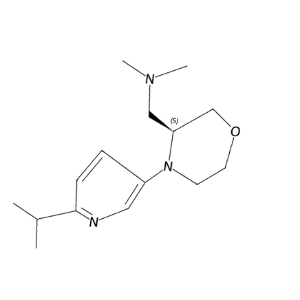 CC(C)c1ccc(N2CCOC[C@@H]2CN(C)C)cn1